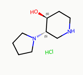 Cl.O[C@H]1CCNC[C@@H]1N1CCCC1